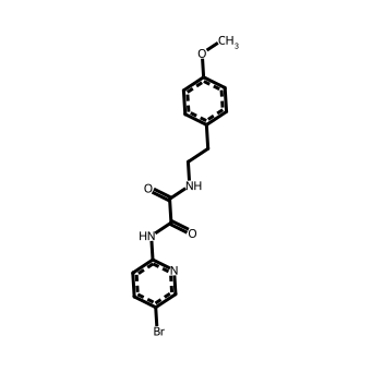 COc1ccc(CCNC(=O)C(=O)Nc2ccc(Br)cn2)cc1